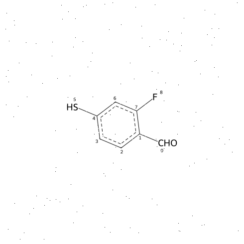 O=Cc1ccc(S)cc1F